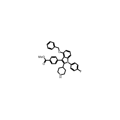 COC(=O)c1ccc(-c2c(C3CCNCC3)n(-c3ccc(F)cc3)c3cccc(OCc4ccccc4)c23)cc1